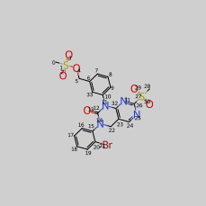 CS(=O)(=O)OCc1cccc(N2C(=O)N(c3ccccc3Br)Cc3cnc(S(C)(=O)=O)nc32)c1